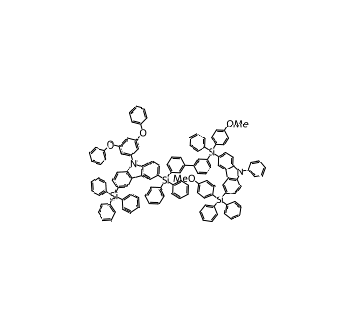 COc1ccc([Si](c2ccccc2)(c2ccccc2)c2ccc3c(c2)c2cc([Si](c4ccccc4)(c4ccc(OC)cc4)c4cccc(-c5cccc([Si](c6ccccc6)(c6ccccc6)c6ccc7c(c6)c6cc([Si](c8ccccc8)(c8ccccc8)c8ccccc8)ccc6n7-c6cc(Oc7ccccc7)cc(Oc7ccccc7)c6)c5)c4)ccc2n3-c2ccccc2)cc1